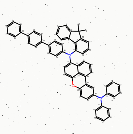 CC1(C)c2ccccc2-c2c(N(c3ccc(-c4ccc(-c5ccccc5)cc4)cc3)c3ccc4c5c(cccc35)-c3cc(N(c5ccccc5)c5ccccc5)ccc3O4)cccc21